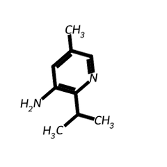 Cc1cnc(C(C)C)c(N)c1